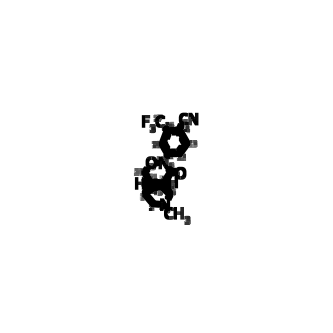 CN1CC2CCC1[C@H]1C(=O)N(c3ccc(C#N)c(C(F)(F)F)c3)OC[C@@H]21